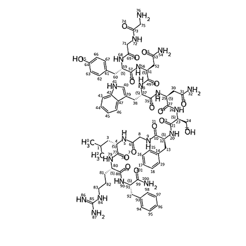 CC(C)C[C@H](NC(=O)CNC(=O)[C@H](Cc1ccccc1)NC(=O)[C@H](CO)NC(=O)[C@H](CC(N)=O)NC(=O)[C@H](Cc1c[nH]c2ccccc12)NC(=O)[C@H](CC(N)=O)NC(=O)[C@H](Cc1ccc(O)cc1)NC(=O)CNC(=O)CN)C(=O)N[C@@H](CCCNC(=N)N)C(=O)N[C@@H](Cc1ccccc1)C(N)=O